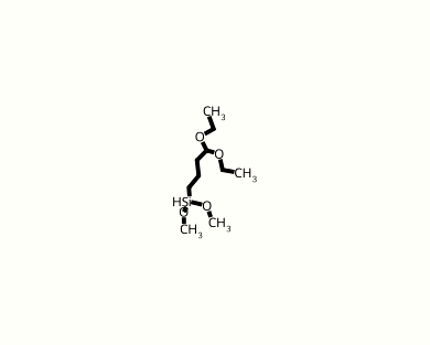 CCOC(CCC[SiH](OC)OC)OCC